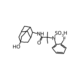 CC(C)(C(=O)NC1C2CC3CC1CC(O)(C3)C2)N(c1ccccc1F)S(=O)(=O)O